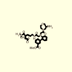 COC(=O)c1cccc(-c2ccccc2N(CC(=O)NCc2cc(Cl)cc(C(=O)N(C)C)c2)CC(=O)N2CCOCC(N)C2)c1